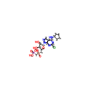 O=P(O)(O)CS(=O)(=O)CC1O[C@@H](n2ncc3c(NC4CCCC4)nc(Cl)nc32)[C@H](O)[C@@H]1O